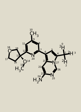 [2H]C([2H])([2H])c1cc(-c2cc(C)cc([C@]3(OC)CCOC3)n2)c2cc(N)ncn12